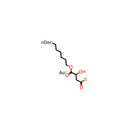 CCCCCCCCCCCCCCCCOC(=O)C(O)CC(=O)[S-].[Au+]